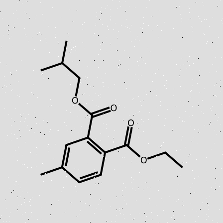 CCOC(=O)c1ccc(C)cc1C(=O)OCC(C)C